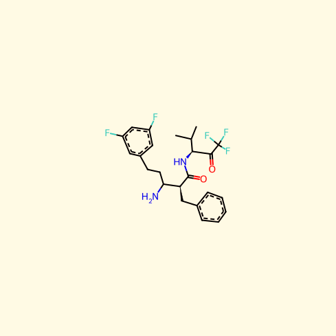 CC(C)[C@H](NC(=O)[C@@H](Cc1ccccc1)C(N)CCc1cc(F)cc(F)c1)C(=O)C(F)(F)F